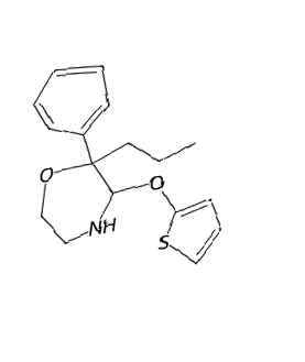 CCCC1(c2ccccc2)OCCNC1Oc1cccs1